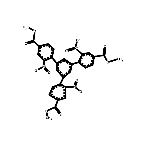 COC(=O)c1ccc(-c2cc(-c3ccc(C(=O)OC)cc3[N+](=O)[O-])cc(-c3ccc(C(=O)OC)cc3[N+](=O)[O-])c2)c([N+](=O)[O-])c1